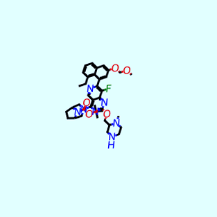 CCc1cccc2cc(OCOC)cc(-c3ncc4c(N5CC6CCC(C5)N6C(=O)OC(C)(C)C)nc(OCC5CNCCN5C)nc4c3F)c12